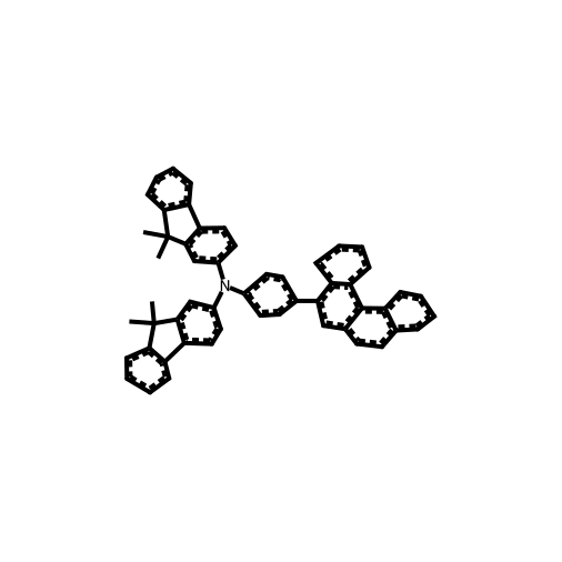 CC1(C)c2ccccc2-c2ccc(N(c3ccc(-c4cc5ccc6ccccc6c5c5ccccc45)cc3)c3ccc4c(c3)C(C)(C)c3ccccc3-4)cc21